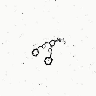 N[C@@H]1CC(COCc2ccccc2)[C@H](OCc2ccccc2)C1